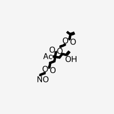 C=C(O)CCC(CCC(=O)OCCN=O)(C(C)=O)C(=O)OCCOC(=O)C(=C)C